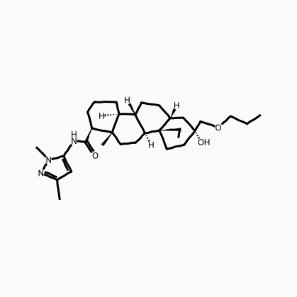 CCCOC[C@@]1(O)CC[C@@]2(CC)[C@H](CC[C@H]3[C@@H]4CCC[C@H](C(=O)Nc5cc(C)nn5C)[C@@]4(C)CC[C@@H]32)C1